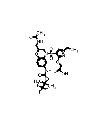 CCn1cc(S(=O)(=O)N2CC(CNC(C)=O)Oc3ccc(NC(=O)OC(C)(C)C(F)(F)F)cc32)c(OCC(=O)O)n1